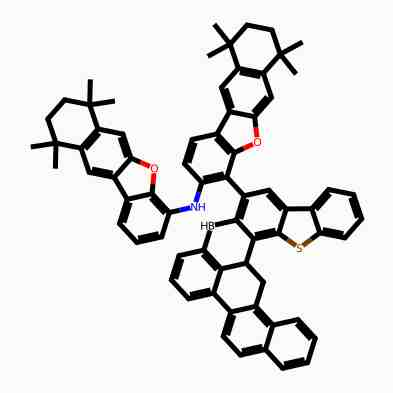 CC1(C)CCC(C)(C)c2cc3c(cc21)oc1c(Nc2ccc4c(oc5cc6c(cc54)C(C)(C)CCC6(C)C)c2-c2cc4c(sc5ccccc54)c4c2Bc2cccc5c2C4Cc2c-5ccc4ccccc24)cccc13